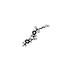 Cn1c(Nc2nc3ccc(C(F)(F)F)cc3s2)nc2cc(C(=O)NCCCCO)ccc21